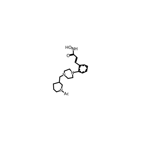 CC(=O)N1CCCC(CN2CCN(c3ccccc3/C=C/C(=O)NO)CC2)C1